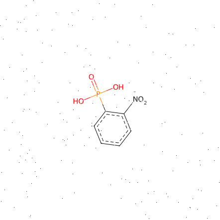 O=[N+]([O-])c1ccc[c]c1P(=O)(O)O